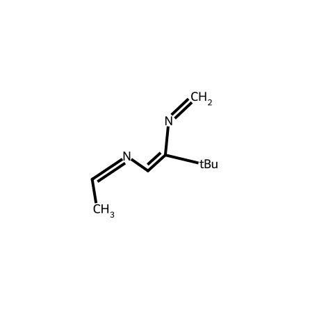 C=N/C(=C\N=C/C)C(C)(C)C